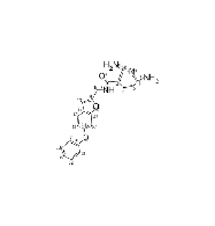 Nc1ccc(C(=O)NCc2cc3ccc(Oc4ccccc4)cc3o2)c(N)n1